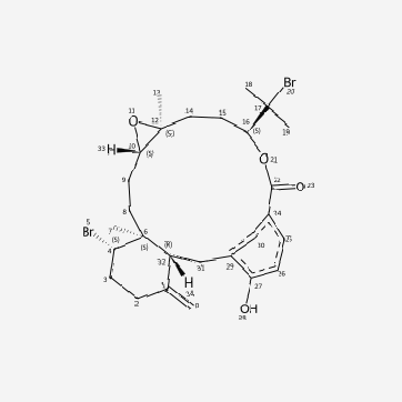 C=C1CC[C@H](Br)[C@@]2(C)CC[C@@H]3O[C@@]3(C)CC[C@@H](C(C)(C)Br)OC(=O)c3ccc(O)c(c3)C[C@H]12